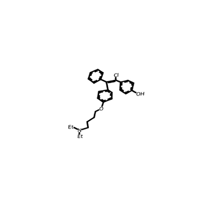 CCN(CC)CCCCOc1ccc(/C(=C(/Cl)c2ccc(O)cc2)c2ccccc2)cc1